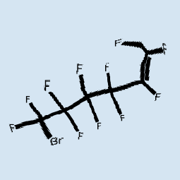 FC(F)=C(F)C(F)(F)C(F)(F)C(F)(F)C(F)(F)Br